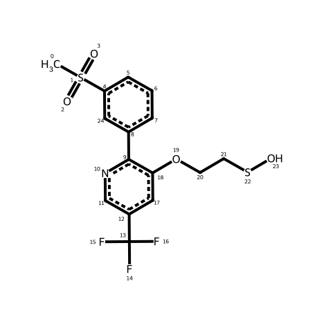 CS(=O)(=O)c1cccc(-c2ncc(C(F)(F)F)cc2OCCSO)c1